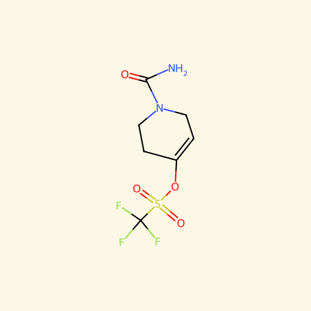 NC(=O)N1CC=C(OS(=O)(=O)C(F)(F)F)CC1